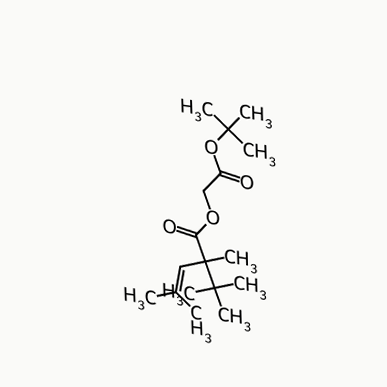 CC(C)=CC(C)(C(=O)OCC(=O)OC(C)(C)C)C(C)(C)C